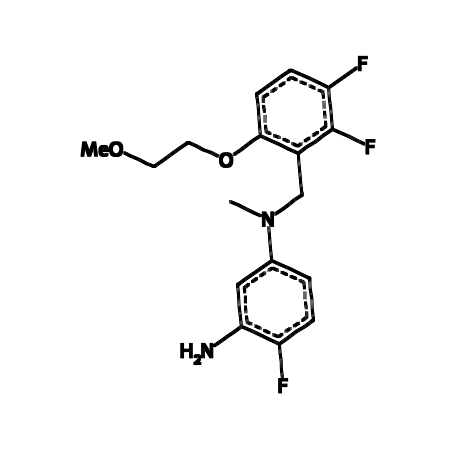 COCCOc1ccc(F)c(F)c1CN(C)c1ccc(F)c(N)c1